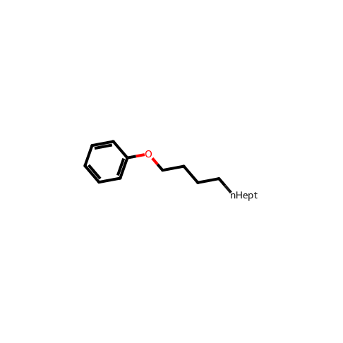 [CH2]CCCCCCCCCCOc1ccccc1